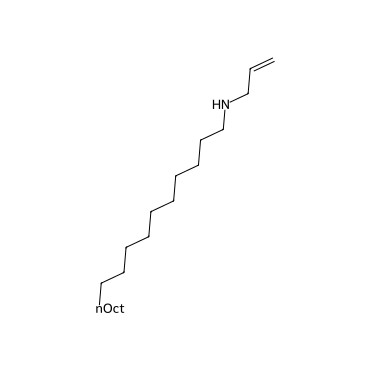 C=CCNCCCCCCCCCCCCCCCCCC